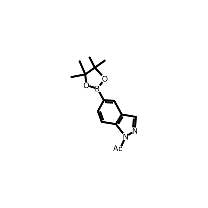 CC(=O)n1ncc2cc(B3OC(C)(C)C(C)(C)O3)ccc21